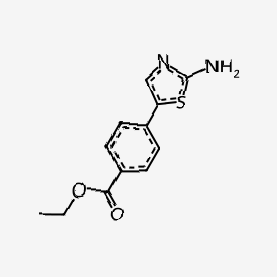 CCOC(=O)c1ccc(-c2cnc(N)s2)cc1